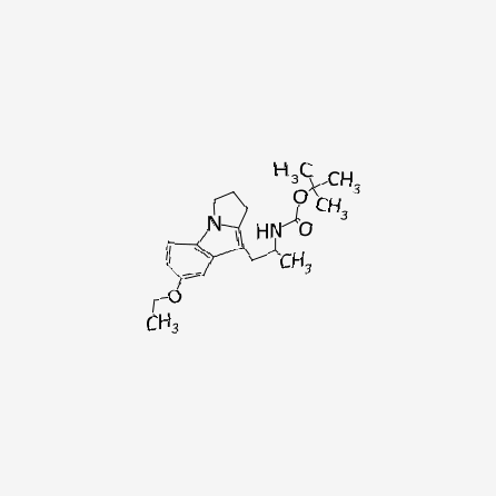 CCOc1ccc2c(c1)c(CC(C)NC(=O)OC(C)(C)C)c1n2CCC1